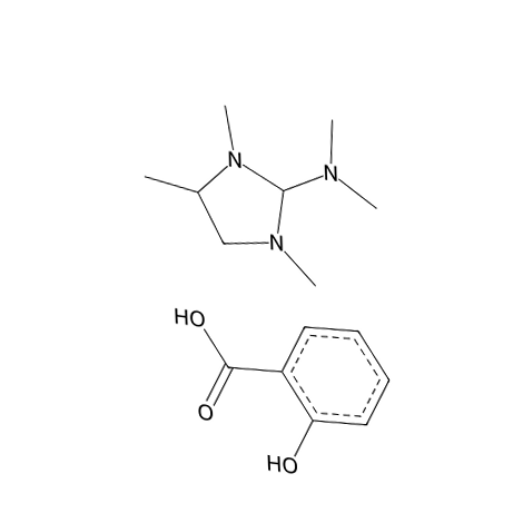 CC1CN(C)C(N(C)C)N1C.O=C(O)c1ccccc1O